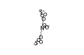 CCOC(=O)CN(CCCCCOc1ccc([S+]2CCCC2)c2ccccc12)CCCCCOc1ccc([S+]2CCCC2)c2ccccc12